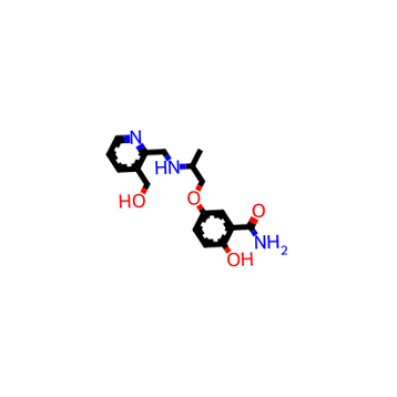 CC(COc1ccc(O)c(C(N)=O)c1)NCc1ncccc1CO